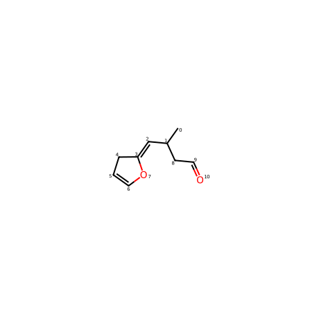 CC(C=C1CC=CO1)CC=O